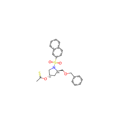 CC(=S)O[C@H]1C[C@H](COCc2ccccc2)N(S(=O)(=O)c2ccc3ccccc3c2)C1